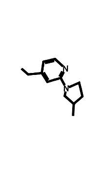 CCc1ccnc(N2CCC(C)C2)c1